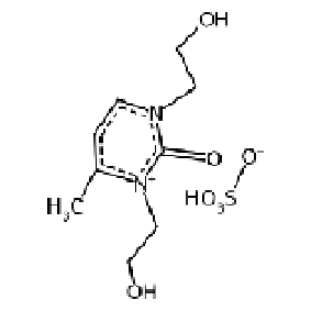 Cc1ccn(CCO)c(=O)[n+]1CCO.O=S(=O)([O-])O